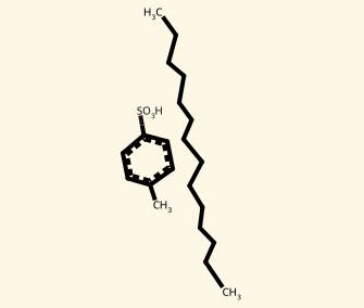 CCCCCCCCCCCCCC.Cc1ccc(S(=O)(=O)O)cc1